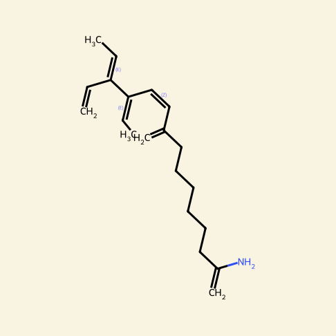 C=CC(=C\C)/C(/C=C\C(=C)CCCCCCC(=C)N)=C/C